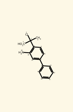 CC(Cl)(C(=O)O)c1ccc(-c2ccccc2)cc1N